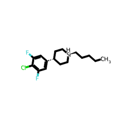 CCCCC[Si@H]1CC[C@H](c2cc(F)c(Cl)c(F)c2)CC1